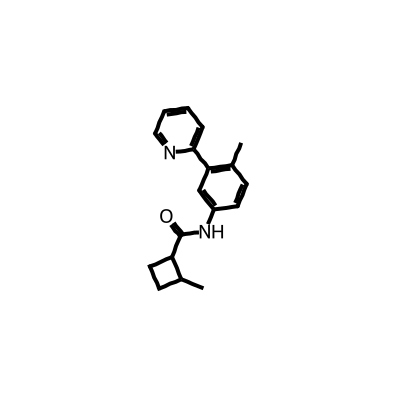 Cc1ccc(NC(=O)C2CCC2C)cc1-c1ccccn1